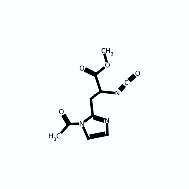 COC(=O)C(Cc1nccn1C(C)=O)N=C=O